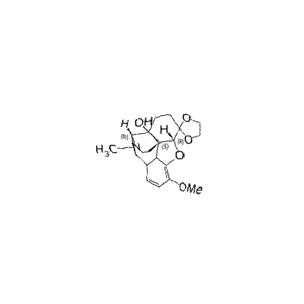 COC1=C2O[C@H]3C4(CCC5(O)[C@H]6CC(C=C1)C2[C@@]35CCN6C)OCCO4